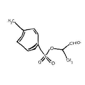 Cc1ccc(S(=O)(=O)OC(C)[C]=O)cc1